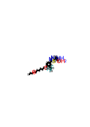 CCCOCCCCCCOc1ccc(-c2nnc(C(C)(N)CO)s2)cc1C(F)(F)F